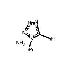 CC(C)c1nnnn1C(C)C.N